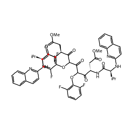 COC(=O)C[C@H](NC(=O)[C@@H](Nc1ccc2ccccc2n1)C(C)C)C(=O)C(Oc1c(F)cccc1F)C(=O)C(Oc1c(F)cccc1F)C(=O)[C@H](CC(=O)OC)NC(=O)[C@@H](Nc1ccc2ccccc2n1)C(C)C